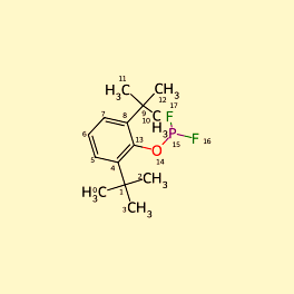 CC(C)(C)c1cccc(C(C)(C)C)c1OP(F)F